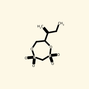 C=C(CC)C1COS(=O)(=O)CS(=O)(=O)O1